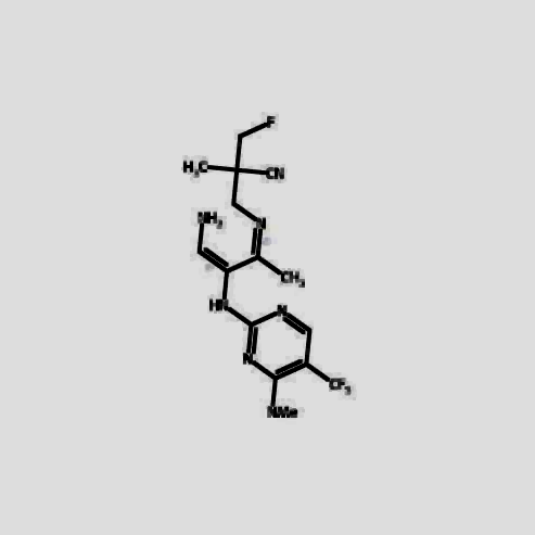 CNc1nc(NC(=C/N)/C(C)=N\CC(C)(C#N)CF)ncc1C(F)(F)F